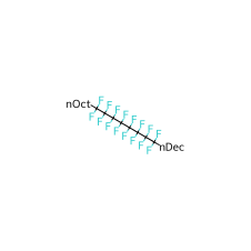 CCCCCCCCCCC(F)(F)C(F)(F)C(F)(F)C(F)(F)C(F)(F)C(F)(F)C(F)(F)C(F)(F)CCCCCCCC